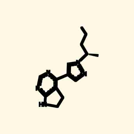 CCC[C@H](C)n1cc(-c2ncnc3c2CCN3)cn1